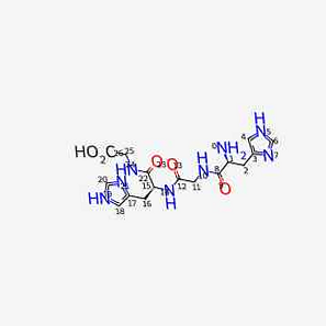 N[C@@H](Cc1c[nH]cn1)C(=O)NCC(=O)N[C@@H](Cc1c[nH]cn1)C(=O)NCC(=O)O